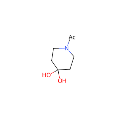 CC(=O)N1CCC(O)(O)CC1